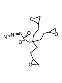 [N-]=[N+]=NS(=O)(=O)CC(CCC1CO1)(CCC1CO1)CCC1CO1